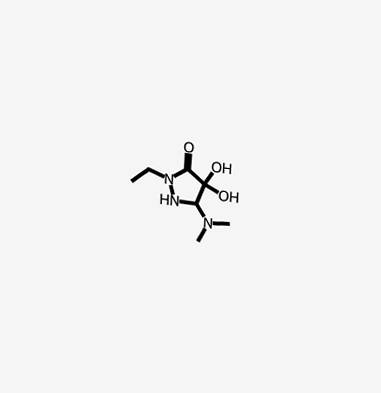 CCN1NC(N(C)C)C(O)(O)C1=O